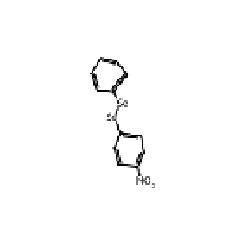 O=[N+]([O-])c1ccc([Se][Se]c2ccccc2)cc1